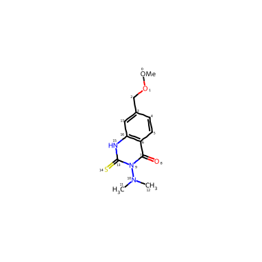 COOCc1ccc2c(=O)n(N(C)C)c(=S)[nH]c2c1